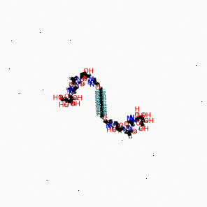 Cc1cn([C@H]2C[C@@H](O)C(Cn3cc(COCC(F)(F)C(F)(F)C(F)(F)C(F)(F)C(F)(F)C(F)(F)C(F)(F)C(F)(F)COCc4cn(CC5O[C@@H](n6cc(C)c(=O)n(Cc7cnnn7C7OC(CO)C(O)C(O)C7O)c6=O)C[C@H]5O)nn4)nn3)O2)c(=O)n(Cc2cn(C3OC(CO)C(O)C(O)C3O)nn2)c1=O